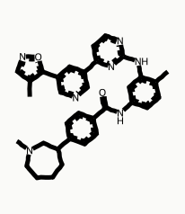 Cc1ccc(NC(=O)c2ccc(C3CCCCN(C)C3)cc2)cc1Nc1nccc(-c2cncc(-c3oncc3C)c2)n1